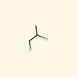 [CH2]C(Cl)CF